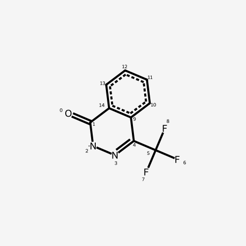 O=C1[N]N=C(C(F)(F)F)c2ccccc21